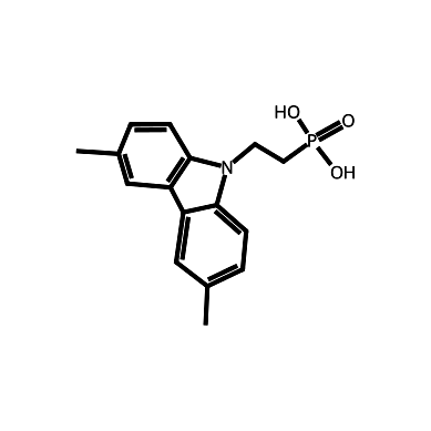 Cc1ccc2c(c1)c1cc(C)ccc1n2CCP(=O)(O)O